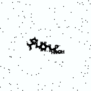 CC(C)C1CCCN1Cc1ccc(/C=C/C(=O)NO)cc1